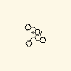 O=C[C@H](Cc1ccccc1)NC(=O)N(Cc1ccccc1)Cc1ccccc1